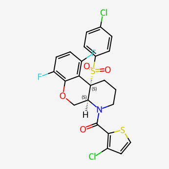 O=C(c1sccc1Cl)N1CCC[C@]2(S(=O)(=O)c3ccc(Cl)cc3)c3c(F)ccc(F)c3OC[C@H]12